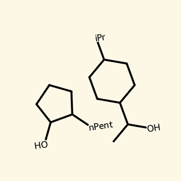 CC(C)C1CCC(C(C)O)CC1.CCCCCC1CCCC1O